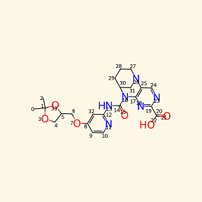 CC1(C)OCC(COc2ccnc(NC(=O)N3c4nc(C(=O)O)ncc4N4CCCC3C4)c2)O1